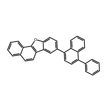 c1ccc(-c2ccc(-c3ccc4oc5c6ccccc6ccc5c4c3)c3ccccc23)cc1